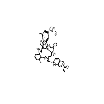 C=CC(=O)N1Cc2ccc(CN3C[C@H]4CC(=O)N(c5cc(C(F)(F)F)cc(C)n5)[C@@H]4C(=O)N(C)c4cccc(C)c43)nc2C1